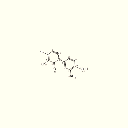 Nc1cc(-n2ncc(F)c(Cl)c2=O)ccc1S(=O)(=O)O